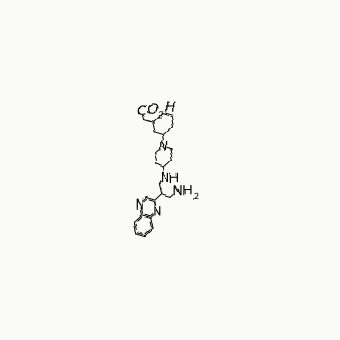 NC/C(=C\NC1CCN(C2CCCC(CC(=O)O)C2)CC1)c1cnc2ccccc2n1